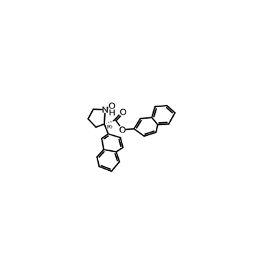 O=C(Oc1ccc2ccccc2c1)[C@]1(c2ccc3ccccc3c2)CCCN1O